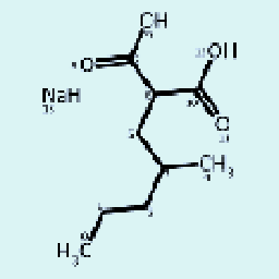 CCCC(C)CC(C(=O)O)C(=O)O.[NaH]